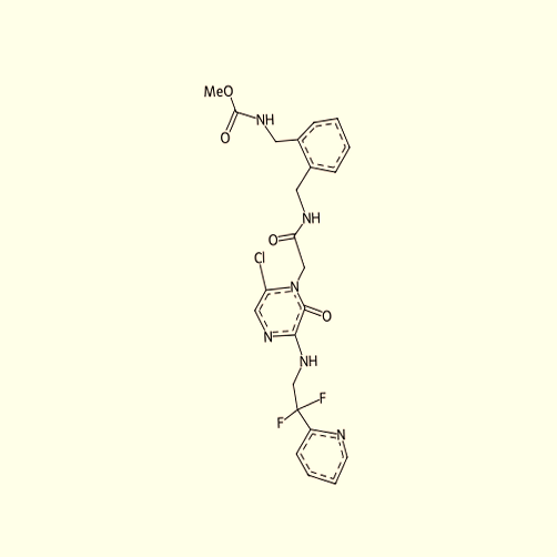 COC(=O)NCc1ccccc1CNC(=O)Cn1c(Cl)cnc(NCC(F)(F)c2ccccn2)c1=O